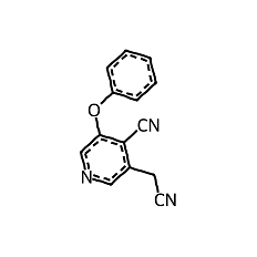 N#CCc1cncc(Oc2ccccc2)c1C#N